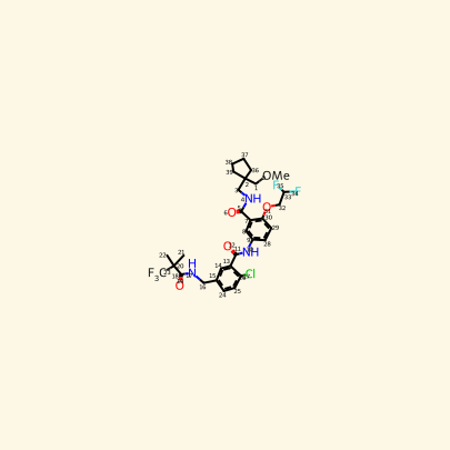 COCC1(CNC(=O)c2cc(NC(=O)c3cc(CNC(=O)C(C)(C)C(F)(F)F)ccc3Cl)ccc2OCC(F)F)CCCC1